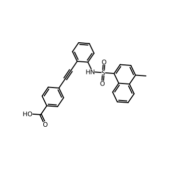 Cc1ccc(S(=O)(=O)Nc2ccccc2C#Cc2ccc(C(=O)O)cc2)c2ccccc12